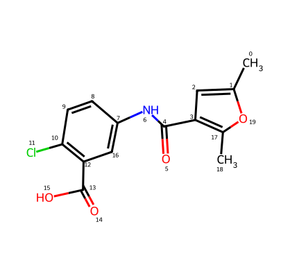 Cc1cc(C(=O)Nc2ccc(Cl)c(C(=O)O)c2)c(C)o1